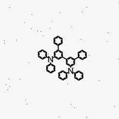 c1ccc(-c2cc(-c3cc(-c4ccccc4)cc(N(c4ccccc4)c4ccccc4)c3)cc(N(c3ccccc3)c3ccccc3)c2)cc1